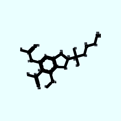 COc1c2c(cc(OC(C)=O)c1C(C)=O)OC(C(C)(C)COCS)C2